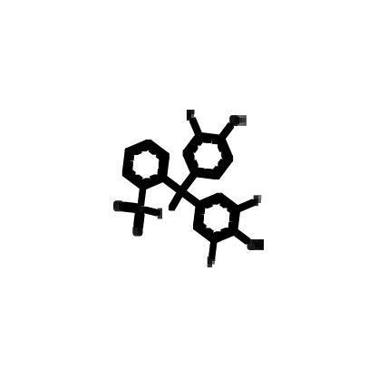 CC(c1ccc(O)c(F)c1)(c1cc(F)c(O)c(F)c1)c1ccccc1S(=O)(=O)I